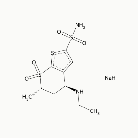 CCN[C@H]1C[C@H](C)S(=O)(=O)c2sc(S(N)(=O)=O)cc21.[NaH]